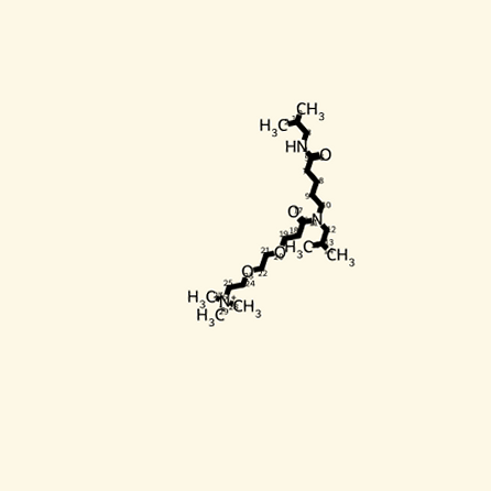 CC(C)CNC(=O)CCCCN(CC(C)C)C(=O)CCOCCOCC[N+](C)(C)C